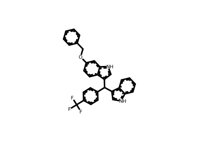 FC(F)(F)c1ccc(C(c2c[nH]c3ccccc23)c2c[nH]c3cc(OCc4ccccc4)ccc23)cc1